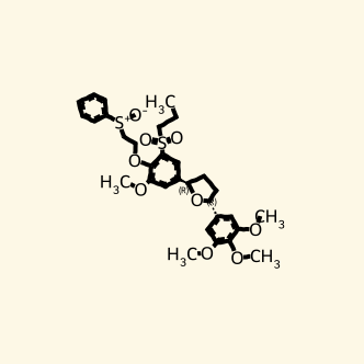 CCCS(=O)(=O)c1cc([C@H]2CC[C@H](c3cc(OC)c(OC)c(OC)c3)O2)cc(OC)c1OCC[S+]([O-])c1ccccc1